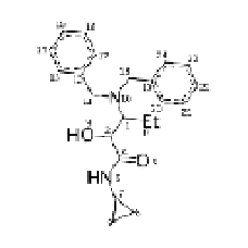 CCC(C(O)C(=O)NC1CC1)N(Cc1ccccc1)Cc1ccccc1